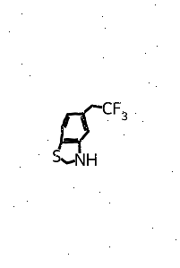 FC(F)(F)Cc1ccc2c(c1)NCS2